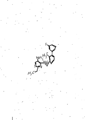 CCc1ncc(N)c(NCc2cccc(-c3cccc(F)c3)c2C)n1